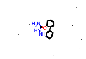 NNC(N)=O.c1ccc(-c2ccccc2)cc1